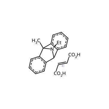 CCN1C2c3ccccc3C1(C)c1ccccc12.O=C(O)/C=C/C(=O)O